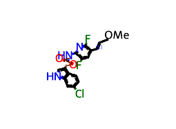 COC/C=C/c1cc(F)c(NS(=O)(=O)c2c[nH]c3cc(Cl)ccc23)nc1F